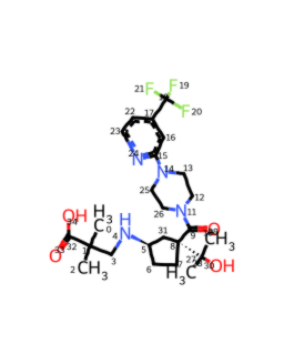 CC(C)(CN[C@@H]1CC[C@@](C(=O)N2CCN(c3cc(C(F)(F)F)ccn3)CC2)(C(C)(C)O)C1)C(=O)O